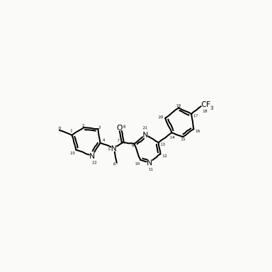 Cc1ccc(N(C)C(=O)c2cncc(-c3ccc(C(F)(F)F)cc3)n2)nc1